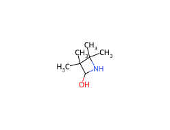 CC1(C)NC(O)C1(C)C